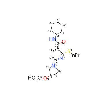 CCCSc1nc(N2CCC(OC(=O)O)C2)ccc1C(=O)NC1CCCCC1